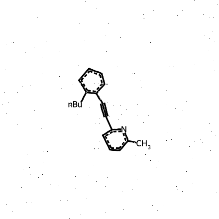 CCCCc1ccc[c]c1C#Cc1cccc(C)n1